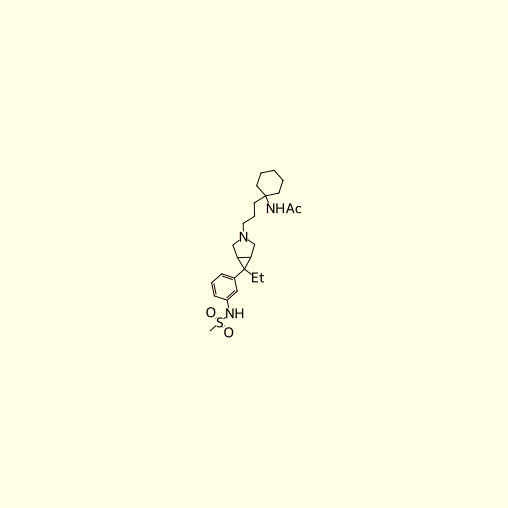 CCC1(c2cccc(NS(C)(=O)=O)c2)C2CN(CCCC3(NC(C)=O)CCCCC3)CC21